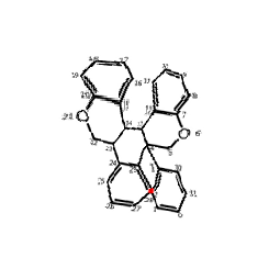 c1ccc(C23COc4ccccc4C2C2c4ccccc4OCC2c2ccccc23)cc1